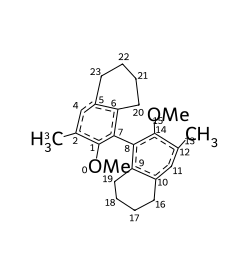 COc1c(C)cc2c(c1-c1c3c(cc(C)c1OC)CCCC3)CCCC2